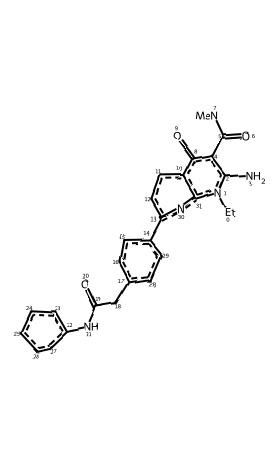 CCn1c(N)c(C(=O)NC)c(=O)c2ccc(-c3ccc(CC(=O)Nc4ccccc4)cc3)nc21